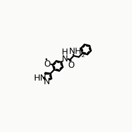 COc1cc(NC(=O)C(N)Cc2ccccc2)ccc1-c1cn[nH]c1